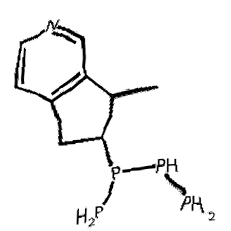 CC1c2cnccc2CC1P(P)PP